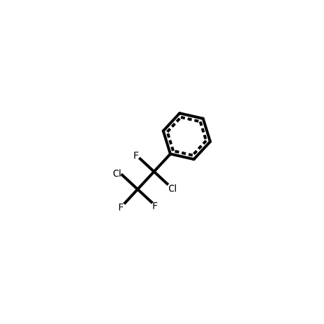 FC(F)(Cl)C(F)(Cl)c1ccccc1